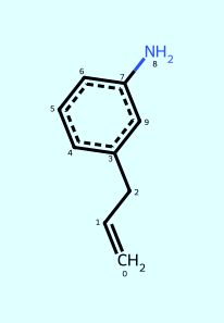 C=CCc1cccc(N)c1